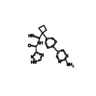 N=C(NC(=O)c1nc[nH]n1)C1(c2ccc(-c3cnc(N)nc3)cc2)CCC1